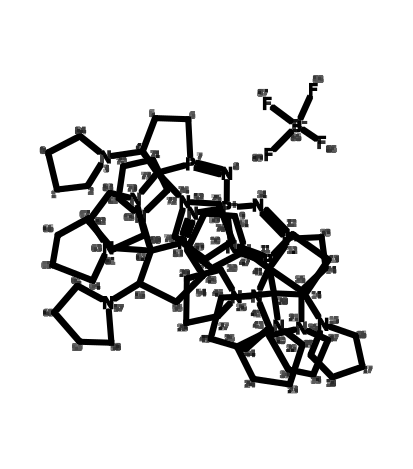 C1CCN(C2CC[P](=N[P+](N=[P]3CCC(N4CCCC4)C3(N3CCCC3)N3CCCC3)(N=[P]3CCC(N4CCCC4)C3(N3CCCC3)N3CCCC3)N=[P]3CCC(N4CCCC4)C3(N3CCCC3)N3CCCC3)C2(N2CCCC2)N2CCCC2)C1.F[B-](F)(F)F